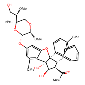 CCC[C@]1([C@@H](CO)OC)CO[C@@H](OC)[C@H](Oc2cc(OC)c3c(c2)O[C@@]2(c4ccc(OC)cc4)[C@H](c4ccccc4)[C@@H](C(=O)OC)[C@@H](O)[C@@]32O)O1